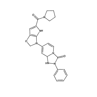 O=C(c1cc2c([nH]1)N(C1=CC3NN(c4ccccc4)C(=O)N3C=C1)CO2)N1CCCC1